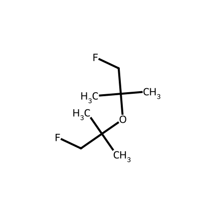 CC(C)(CF)OC(C)(C)CF